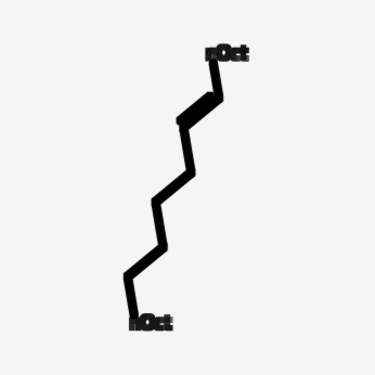 [CH2]CCCCCCCC=CCCCCCCCCCCC[CH2]